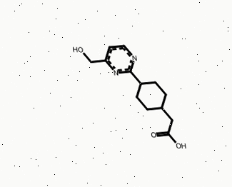 O=C(O)CC1CCC(c2nccc(CO)n2)CC1